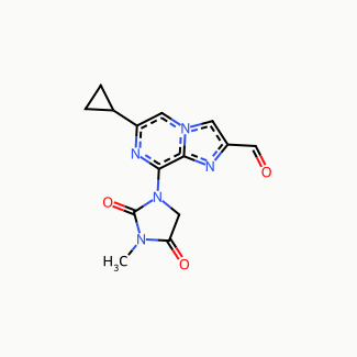 CN1C(=O)CN(c2nc(C3CC3)cn3cc(C=O)nc23)C1=O